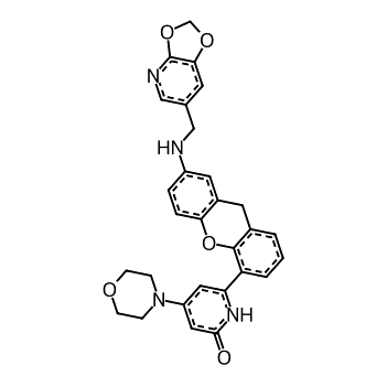 O=c1cc(N2CCOCC2)cc(-c2cccc3c2Oc2ccc(NCc4cnc5c(c4)OCO5)cc2C3)[nH]1